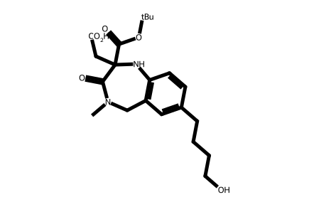 CN1Cc2cc(CCCCO)ccc2NC(CC(=O)O)(C(=O)OC(C)(C)C)C1=O